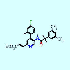 CCOC(=O)C=Cc1cc(-c2ccc(F)cc2C)c(N(C)C(=O)C(C)(C)c2cc(C(F)(F)F)cc(C(F)(F)F)c2)cn1